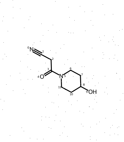 N#CCC(=O)N1CCC(O)CC1